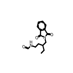 CCC(CCNC=O)CN1C(=O)c2ccccc2C1=O